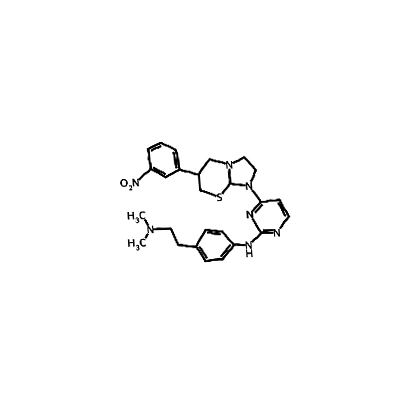 CN(C)CCc1ccc(Nc2nccc(N3CCN4CC(c5cccc([N+](=O)[O-])c5)CSC43)n2)cc1